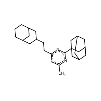 Cc1nc(CCC2CC3CCCC(C3)C2)nc(C23CC4CC(CC(C4)C2)C3)n1